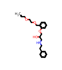 C=CCOCCOCc1ccccc1OCC(O)CNCCc1ccccc1